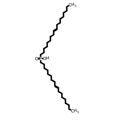 CCCCCCCCC=CCCCCCCCCP(=O)(O)CCCCCCCCC=CCCCCCCCC